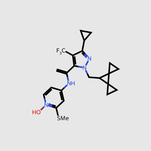 C=C(Nc1cc[n+](O)c(SC)c1)c1c(C(F)(F)F)c(C2CC2)nn1CC1C2(CC2)C12CC2